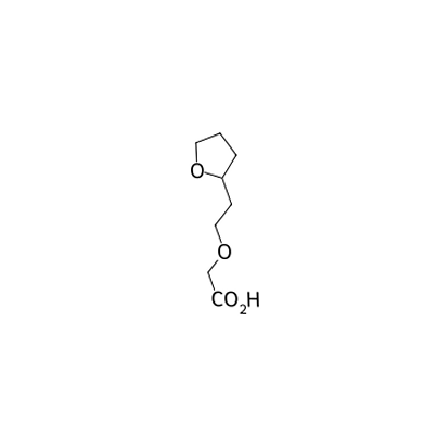 O=C(O)COCCC1CCCO1